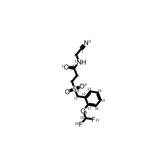 N#CCNC(=O)CCS(=O)(=O)Cc1ccccc1OC(F)F